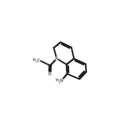 CC(=O)N1CC=Cc2cccc(N)c21